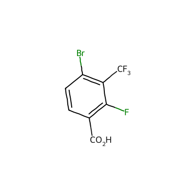 O=C(O)c1ccc(Br)c(C(F)(F)F)c1F